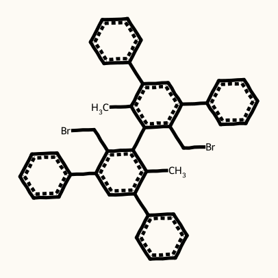 Cc1c(-c2ccccc2)cc(-c2ccccc2)c(CBr)c1-c1c(C)c(-c2ccccc2)cc(-c2ccccc2)c1CBr